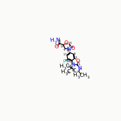 CCN=c1oc2cc([N@+]34CC(C(N)=O)OC3O4)cc(F)c2n1C(C)(C)C